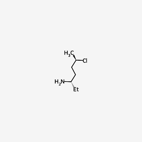 CC[C@H](N)CC[C@@H](C)Cl